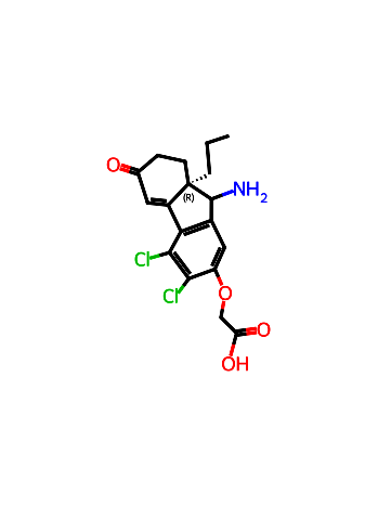 CCC[C@@]12CCC(=O)C=C1c1c(cc(OCC(=O)O)c(Cl)c1Cl)C2N